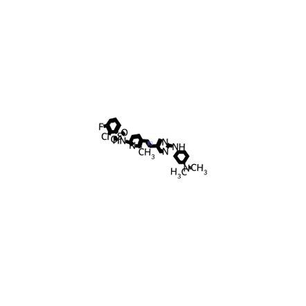 Cc1nc(NS(=O)(=O)c2cccc(F)c2Cl)ccc1/C=C/c1cnc(N[C@H]2CC[C@H](N(C)C)CC2)nc1